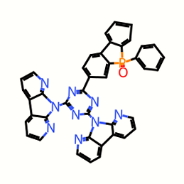 O=P1(c2ccccc2)c2ccccc2-c2ccc(-c3nc(-n4c5ncccc5c5cccnc54)nc(-n4c5ncccc5c5cccnc54)n3)cc21